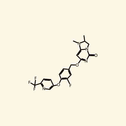 CC1Cn2c(cc(OCc3ccc(Oc4ccc(C(F)(F)F)nc4)c(F)c3)nc2=O)N1C